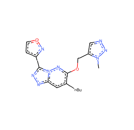 CCCCc1cc2nnc(-c3ccon3)n2nc1OCc1cnnn1C